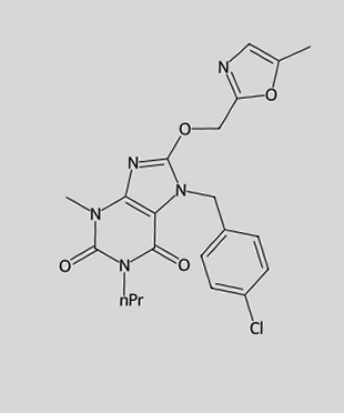 CCCn1c(=O)c2c(nc(OCc3ncc(C)o3)n2Cc2ccc(Cl)cc2)n(C)c1=O